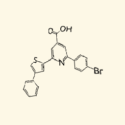 O=C(O)c1cc(-c2ccc(Br)cc2)nc(-c2cc(-c3ccccc3)cs2)c1